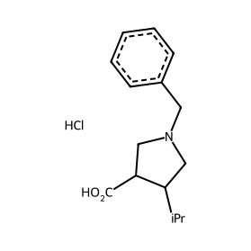 CC(C)C1CN(Cc2ccccc2)CC1C(=O)O.Cl